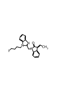 C/C=C1/C(=O)N(Cc2nc3ccccc3n2CCCCF)c2ccccc21